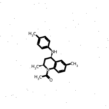 CC(=O)N1c2ccc(C)cc2[C@H](Nc2ccc(C)cc2)C[C@@H]1C